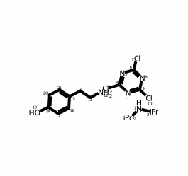 CC(C)NC(C)C.Clc1nc(Cl)nc(Cl)n1.NCCc1ccc(O)cc1